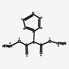 CCCCCCCOC(=O)C(C(=O)OCCCCCCC)c1ccccc1